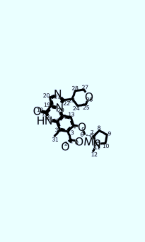 COC(=O)c1c(OC[C@@H]2CCCN2C)cc2c([nH]c(=O)c3cnc(C4CCOCC4)n32)c1C